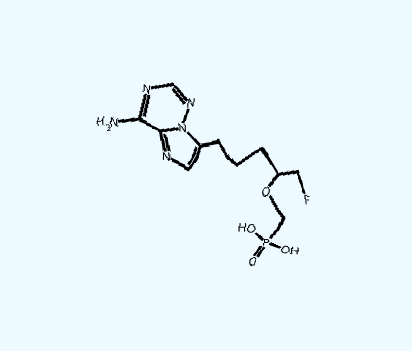 Nc1ncnn2c(CCCC(CF)OCP(=O)(O)O)cnc12